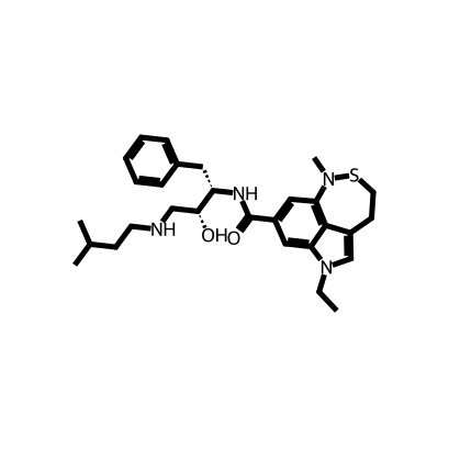 CCn1cc2c3c(cc(C(=O)N[C@@H](Cc4ccccc4)[C@H](O)CNCCC(C)C)cc31)N(C)SCC2